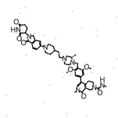 CNC(=O)N1CCc2c(-c3cc(OC)c(CN4[C@H](C)CN(CCC5CCN(c6ccc7c(c6)CN(C6CCC(=O)NC6=O)C7=O)CC5)C[C@H]4C)c(OC)c3)cn(C)c(=O)c2C1